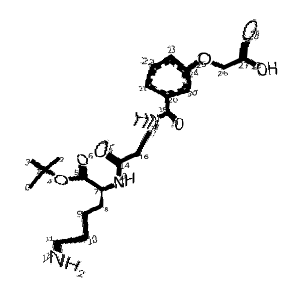 CC(C)(C)OC(=O)[C@H](CCCCN)NC(=O)CNC(=O)c1cccc(OCC(=O)O)c1